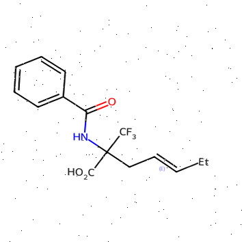 CC/C=C/CC(NC(=O)c1ccccc1)(C(=O)O)C(F)(F)F